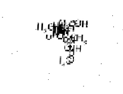 C=CCN1CC(=O)N2[C@@H](Cc3ccc(O)cc3)C(=O)N(Cc3cccc4c(C(=O)Nc5ccc(OC)cc5)cn(C)c34)C[C@@H]2N1C(=O)NCc1ccccc1